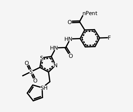 CCCCCC(=O)c1cc(F)ccc1NC(=O)Nc1nc(C[SH]2C=CC=C2)c(S(C)(=O)=O)s1